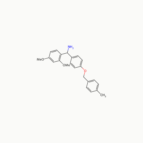 COc1ccc(C(N)c2ccc(OCc3ccc(C)cc3)cc2)c(OC)c1